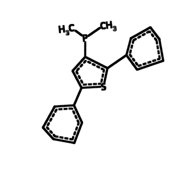 CP(C)c1cc(-c2ccccc2)sc1-c1ccccc1